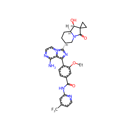 CCOc1cc(C(=O)Nc2cc(C(F)(F)F)ccn2)ccc1-c1nc([C@@H]2CC[C@H]3[C@@H](O)C4(CC4)C(=O)N3C2)n2ccnc(N)c12